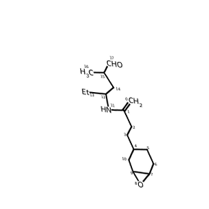 C=C(CCC1CCC2OC2C1)NC(CC)CC(C)C=O